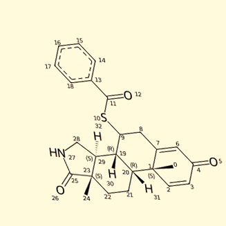 C[C@]12C=CC(=O)C=C1CC(SC(=O)c1ccccc1)[C@@H]1[C@H]2CC[C@]2(C)C(=O)NC[C@@H]12